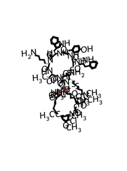 COc1cc2cc(c1Cl)N(C)C(=O)C[C@H](OC(=O)[C@H](C)N(C)C(=O)CCSSC[C@H](NC(=O)[C@@H]1CSSC[C@H](NC(=O)[C@H](N)Cc3ccccc3)C(=O)N[C@@H](Cc3ccc(O)cc3)C(=O)N[C@H](Cc3c[nH]c4ccccc34)C(=O)N[C@@H](CCCCCN)C(=O)N[C@@H]([C@@H](C)O)C(=O)N1)C(N)=O)[C@@]1(C)CC(C)(O1)[C@@H]1C[C@@](O)(NC(=O)O1)[C@H](OC)/C=C/CC(C)C2